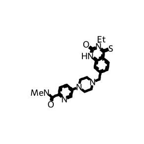 CCn1c(=O)[nH]c2cc(CN3CCN(c4ccc(C(=O)NC)nc4)CC3)ccc2c1=S